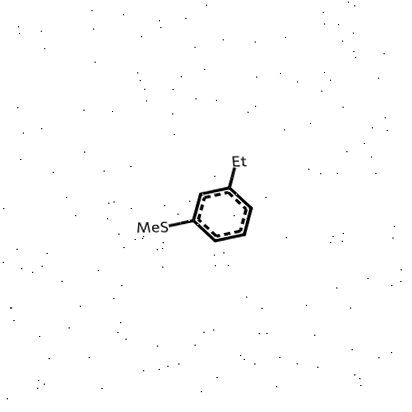 [CH2]Cc1cccc(SC)c1